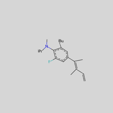 C=C/C(C)=C(\C)c1cc(F)c(N(C)C(C)C)c(C(C)CC)c1